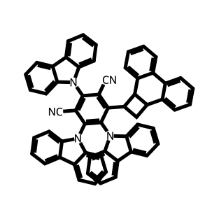 N#Cc1c(C2CC3c4ccccc4-c4ccccc4C32)c(-n2c3ccccc3c3ccccc32)c(-n2c3ccccc3c3ccccc32)c(C#N)c1-n1c2ccccc2c2ccccc21